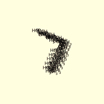 CC(C)C(=O)O.CC(C)C(=O)O.CC(C)C(=O)O.CC(C)C(=O)O.CC(CC(=O)O)CC(C)(C)C.CC(CC(=O)O)CC(C)(C)C.CC(CC(=O)O)CC(C)(C)C.CC(CC(=O)O)CC(C)(C)C.CC(CC(=O)O)CC(C)(C)C.CC(CC(=O)O)CC(C)(C)C.CC(CC(=O)O)CC(C)(C)C.CC(CC(=O)O)CC(C)(C)C